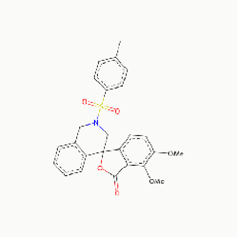 COc1ccc2c(c1OC)C(=O)OC21CN(S(=O)(=O)c2ccc(C)cc2)Cc2ccccc21